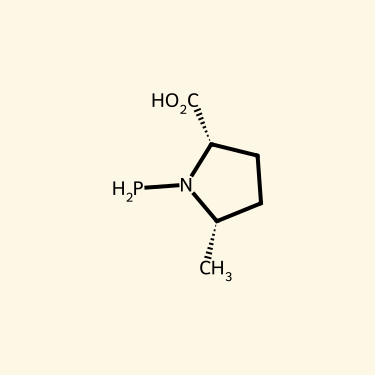 C[C@H]1CC[C@@H](C(=O)O)N1P